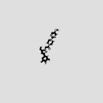 CCc1cc(-c2cc(C)c(F)c(C)c2)nn1CC(=O)N1CCN(c2ncc(OC)cn2)CC1